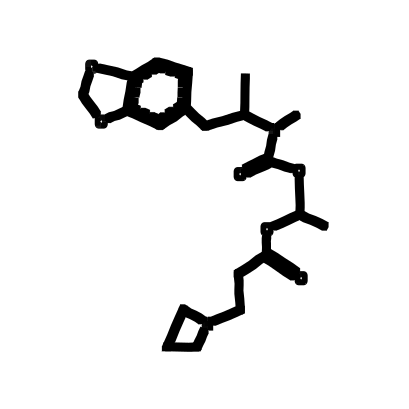 CC(OC(=O)CCN1CCC1)OC(=O)N(C)C(C)Cc1ccc2c(c1)OCO2